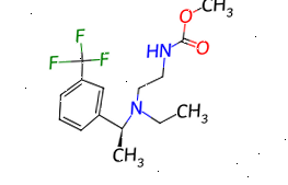 CCN(CCNC(=O)OC)[C@@H](C)c1cccc(C(F)(F)F)c1